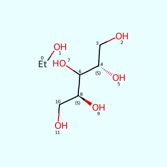 CCO.OC[C@H](O)C(O)[C@@H](O)CO